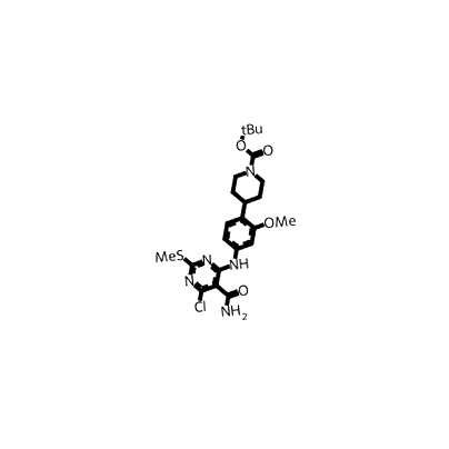 COc1cc(Nc2nc(SC)nc(Cl)c2C(N)=O)ccc1C1CCN(C(=O)OC(C)(C)C)CC1